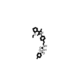 CCOc1ccccc1-c1c(C)nn(-c2ccc(CCNC(=O)NS(=O)(=O)c3ccc(C)cc3)cc2)c1C